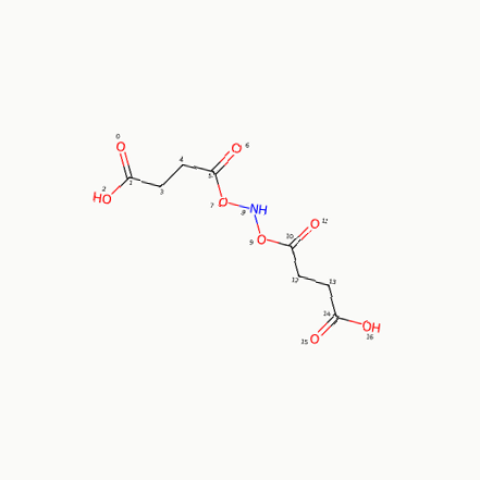 O=C(O)CCC(=O)ONOC(=O)CCC(=O)O